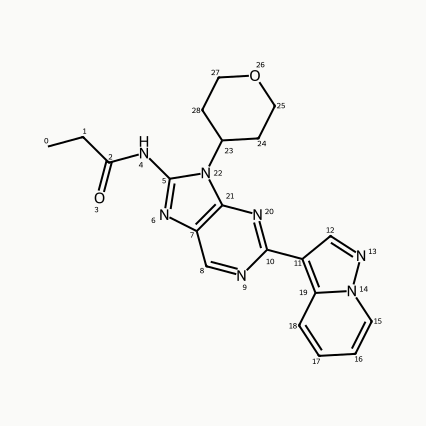 CCC(=O)Nc1nc2cnc(-c3cnn4ccccc34)nc2n1C1CCOCC1